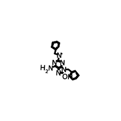 CN(Cc1ccccc1)c1nc(N)c2nc(O)n(Cc3ccccc3)c2n1